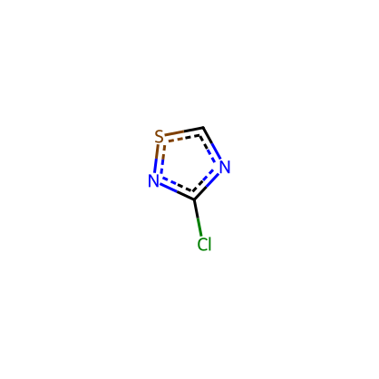 Clc1ncsn1